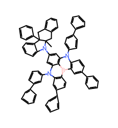 CC12Cc3ccccc3CC1(c1ccccc1)c1ccccc1N2c1cc2c3c(c1)N(c1cccc(-c4ccccc4)c1)c1cc(-c4ccccc4)ccc1B3c1cc(-c3ccccc3)ccc1N2c1ccc(-c2ccccc2)cc1